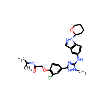 CC(C)NC(=O)COc1ccc(-c2nc(Nc3ccc4c(cnn4C4CCCCO4)c3)n(C)n2)cc1Cl